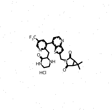 CC1(C)C2C(=O)N(Cc3cc4nccc(-c5cc(C(F)(F)F)cnc5CC5NCCNC5=O)c4s3)C(=O)C21.Cl